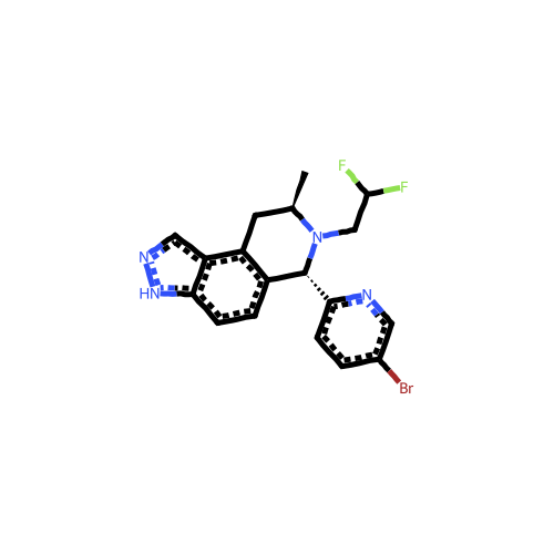 C[C@@H]1Cc2c(ccc3[nH]ncc23)[C@@H](c2ccc(Br)cn2)N1CC(F)F